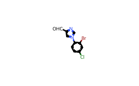 O=Cc1cn(-c2ccc(Cl)cc2Br)cn1